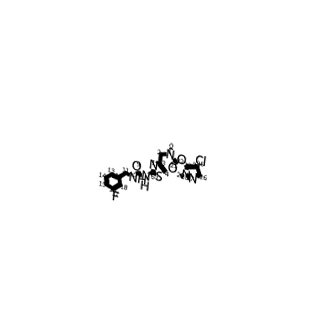 CN(Cc1csc(NC(=O)NCc2cccc(F)c2)n1)C(=O)Oc1c(Cl)cnn1C